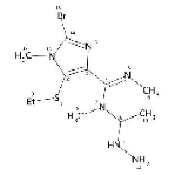 CCSc1c(C(=NC)N(C)C(C)NN)nc(Br)n1C